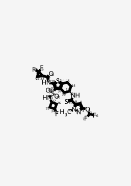 Cn1nc(OC(F)F)cc1C(=S)N[C@H]1CCc2sc(NC(=O)C3CC3(F)F)c(S(=O)(=O)NC3CC(F)C3)c2C1